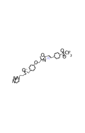 O=S(=O)(c1ccc(/C=C/c2nc(COc3ccc(C[S+]([O-])CCn4ccnn4)cc3)co2)cc1)C(F)(F)F